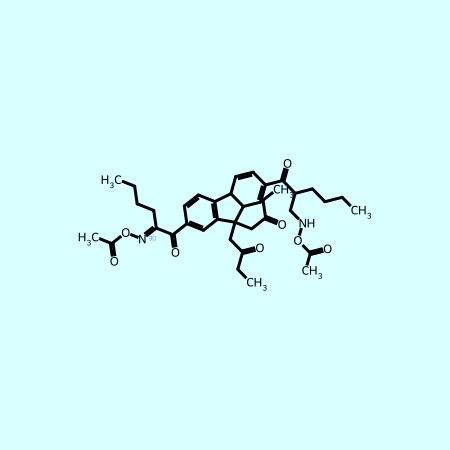 CCCC/C(=N\OC(C)=O)C(=O)c1ccc2c(c1)C(CC(=O)CC)(CC(=O)CC)C1C=C(C(=O)C(CCCC)CNOC(C)=O)C=CC21